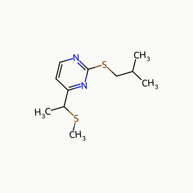 CSC(C)c1ccnc(SCC(C)C)n1